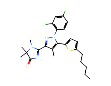 CCCCCc1ccc(-c2c(C)c(C3=NC(=O)C(C)(C)N3C)nn2-c2ccc(Cl)cc2Cl)s1